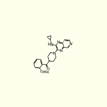 COc1ccccc1C(=O)C1CCN(c2nc3cnccc3nc2NC2CC2)CC1